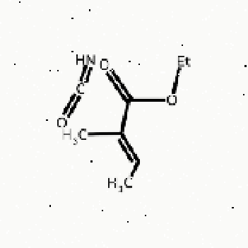 CC=C(C)C(=O)OCC.N=C=O